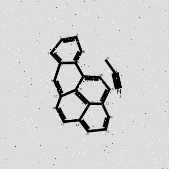 CC#N.c1ccc2c(c1)cc1ccc3cccc4ccc2c1c34